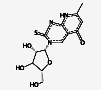 Cc1cc(=O)c2cn([C@@H]3O[C@H](CO)C(O)[C@@H]3O)c(=S)nc2[nH]1